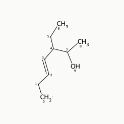 [CH2]CC=CC(CC)C(C)O